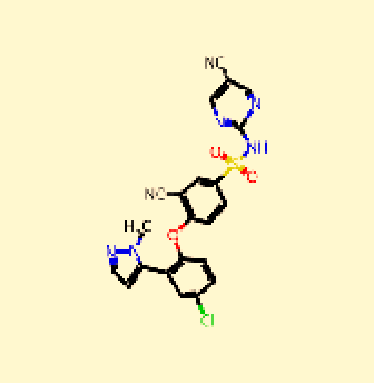 Cn1nccc1-c1cc(Cl)ccc1Oc1ccc(S(=O)(=O)Nc2ncc(C#N)cn2)cc1C#N